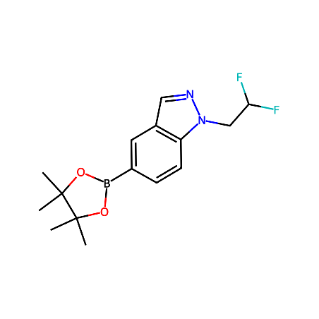 CC1(C)OB(c2ccc3c(cnn3CC(F)F)c2)OC1(C)C